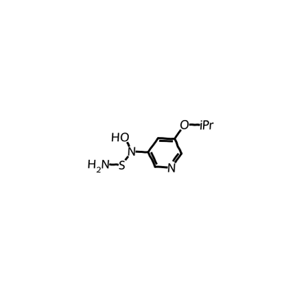 CC(C)Oc1cncc(N(O)SN)c1